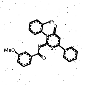 COc1cccc(C(=O)N=c2sc(-c3ccccc3)cc(=O)n2-c2ccccc2C(C)C)c1